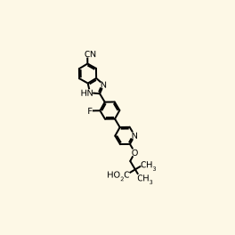 CC(C)(COc1ccc(-c2ccc(-c3nc4cc(C#N)ccc4[nH]3)c(F)c2)cn1)C(=O)O